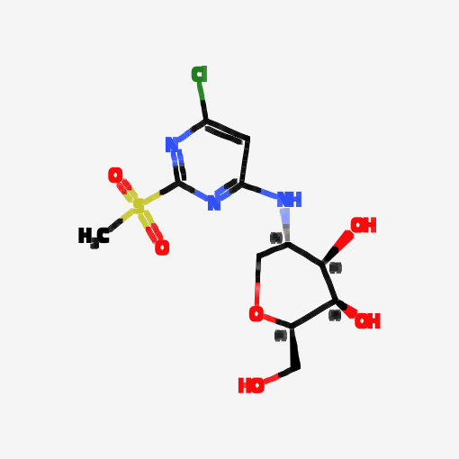 CS(=O)(=O)c1nc(Cl)cc(N[C@H]2CO[C@H](CO)[C@H](O)[C@@H]2O)n1